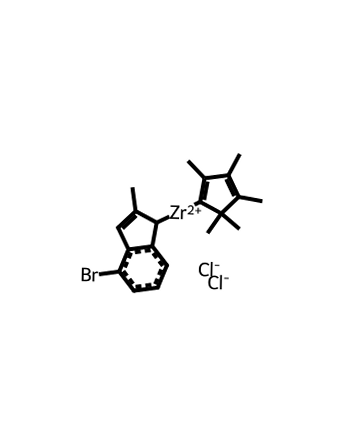 CC1=Cc2c(Br)cccc2[CH]1[Zr+2][C]1=C(C)C(C)=C(C)C1(C)C.[Cl-].[Cl-]